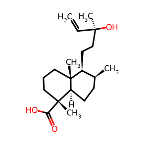 C=C[C@@](C)(O)CC[C@H]1[C@@H](C)CC[C@@H]2[C@]1(C)CCC[C@@]2(C)C(=O)O